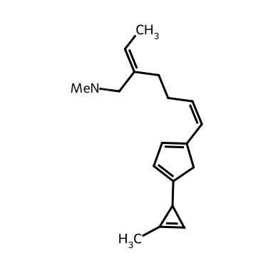 C/C=C(\CC/C=C\C1=CC=C(C2C=C2C)C1)CNC